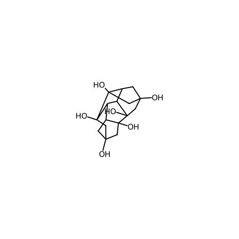 OC12CC3C4C5C6CC(O)(CC6(O)C4(O)C1)CC5(O)C3(O)C2